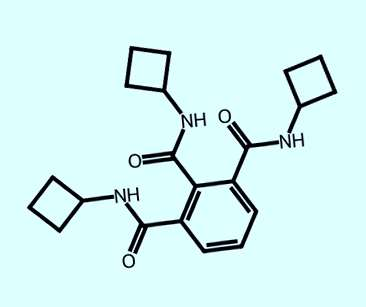 O=C(NC1CCC1)c1cccc(C(=O)NC2CCC2)c1C(=O)NC1CCC1